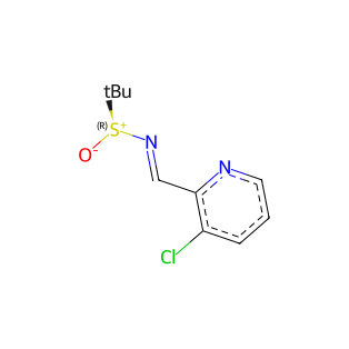 CC(C)(C)[S@+]([O-])N=Cc1ncccc1Cl